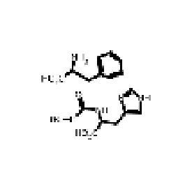 CC(C)(C)OC(=O)NC(Cc1c[nH]cn1)C(=O)O.NC(Cc1ccccc1)C(=O)O